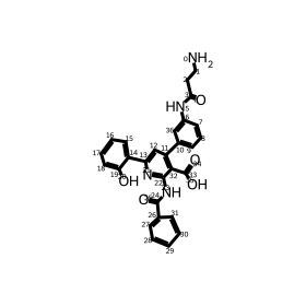 NCCC(=O)Nc1cccc(-c2cc(-c3ccccc3O)nc(NC(=O)c3ccccc3)c2C(=O)O)c1